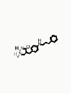 NCC(Cc1ccc(NCCCc2ccccc2)cc1)C(N)=O